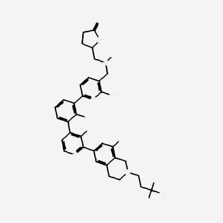 COc1nc(-c2cccc(-c3ccnc(-c4cc(Cl)c5c(c4)CCN(CCC(C)(C)O)C5)c3Cl)c2Cl)ccc1CN(CC1CCC(=O)N1)C(=O)O